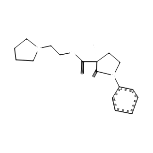 O=C(NCCN1CCCC1)[C@@]1(O)CCN(c2ccccc2)C1=O